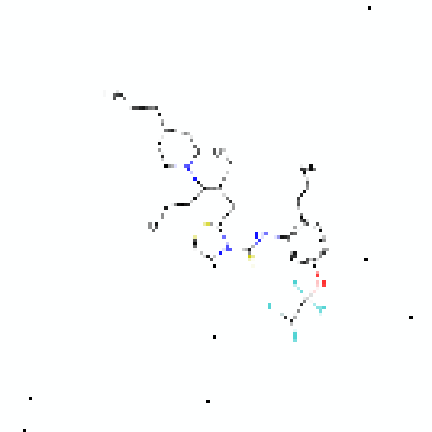 CCCc1ccc(OC(F)(F)C(F)F)cc1NC(=S)N1CCSC1CC(CC)C(CCC)N1CCC(CCC)CC1